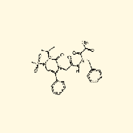 CC(C)[C@H]1C(=O)N(CC(=O)N[C@@H](Cc2ccccc2)C(=O)C(=O)O)C(c2ccccc2)=CN1S(C)(=O)=O